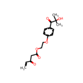 C=CC(=O)CC(=O)OCCOc1ccc(C(=O)C(C)(C)O)cc1